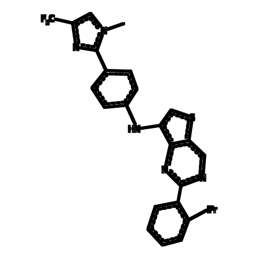 CC(C)c1ccccc1-c1ncc2scc(Nc3ccc(-c4nc(C(F)(F)F)cn4C)cc3)c2n1